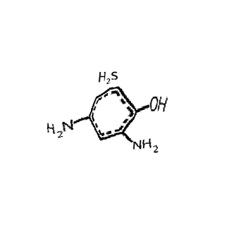 Nc1ccc(O)c(N)c1.S